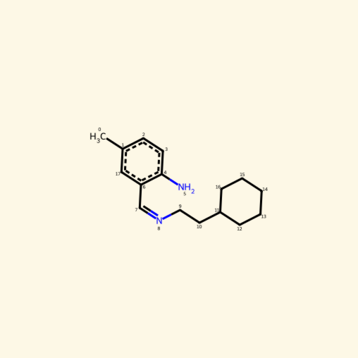 Cc1ccc(N)c(/C=N\CCC2CCCCC2)c1